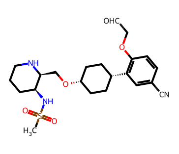 CS(=O)(=O)N[C@H]1CCCN[C@H]1CO[C@H]1CC[C@@H](c2cc(C#N)ccc2OCC=O)CC1